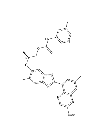 COc1cnc2c(-c3nc4cc(F)c(O[C@@H](C)COC(=O)Nc5cncc(C)c5)cc4s3)cc(C)cc2n1